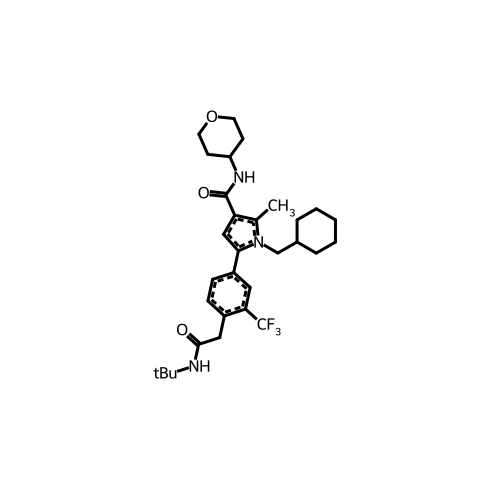 Cc1c(C(=O)NC2CCOCC2)cc(-c2ccc(CC(=O)NC(C)(C)C)c(C(F)(F)F)c2)n1CC1CCCCC1